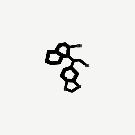 CC(=O)CC(c1ccc2c(c1)OCO2)c1c(O)ccc2ccccc12